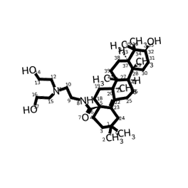 CC1(C)CC[C@]2(C(=O)NCCN(CCO)CCO)CC[C@]3(C)C(=C2C1)CC[C@@H]1[C@@]2(C)CC[C@H](O)C(C)(C)[C@@H]2CC[C@]13C